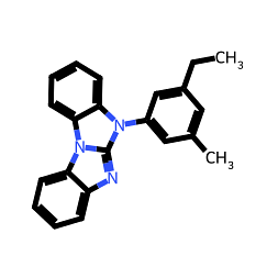 CCc1cc(C)cc(-n2c3ccccc3n3c4ccccc4nc23)c1